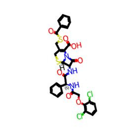 O=C(COc1c(Cl)cccc1Cl)N[C@H](C(=O)NC1C(=O)N2C(C(=O)O)=C(CSC(=O)c3ccccc3)CS[C@@H]12)c1ccccc1